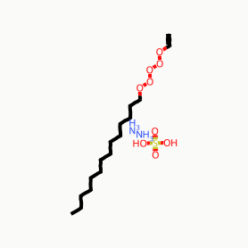 C=COOOOOCCCCCCCCCCCCCC.N.N.O=S(=O)(O)O